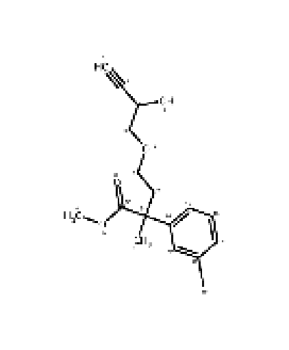 C#CC(O)COCCC(C)(C(=O)OC)c1cccc(I)c1